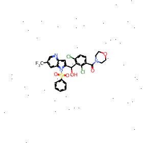 O=C(c1ccc(Cl)c(C(O)c2cc3ncc(C(F)(F)F)cc3n2S(=O)(=O)c2ccccc2)c1Cl)N1CCOCC1